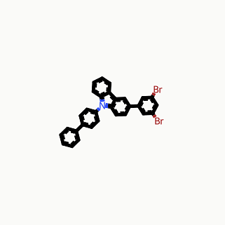 Brc1cc(Br)cc(-c2ccc3c(c2)c2ccccc2n3-c2ccc(-c3ccccc3)cc2)c1